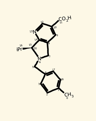 Cc1ccc(CN2Cc3cc(C(=O)O)cnc3[C@@H]2C(C)C)cc1